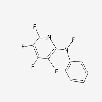 Fc1nc(N(F)c2ccccc2)c(F)c(F)c1F